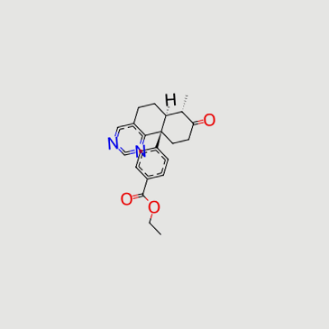 CCOC(=O)c1ccc([C@]23CCC(=O)[C@@H](C)[C@@H]2CCc2cncnc23)cc1